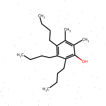 CCCCc1c(C)c(C)c(O)c(CCCC)c1CCCC